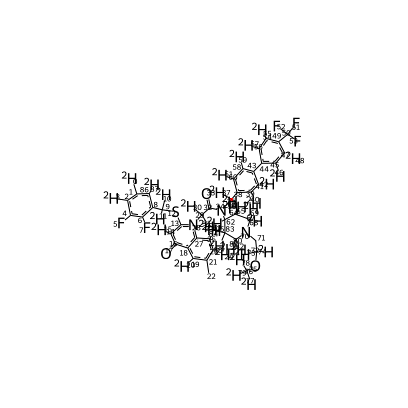 [2H]c1c([2H])c(F)c(F)c(C([2H])([2H])Sc2c([2H])c(=O)c3c([2H])c(C)c([2H])c([2H])c3n2C([2H])([2H])C(=O)N(C([2H])([2H])c2c([2H])c([2H])c(-c3c([2H])c([2H])c(C(F)(F)F)c([2H])c3[2H])c([2H])c2[2H])C2([2H])C([2H])([2H])C([2H])([2H])N(CC([2H])([2H])OC([2H])([2H])[2H])C([2H])([2H])C2([2H])[2H])c1[2H]